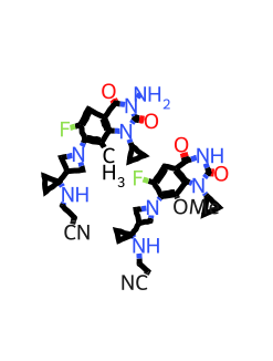 COc1c(N2CC(C3(NCCC#N)CC3)C2)c(F)cc2c(=O)[nH]c(=O)n(C3CC3)c12.Cc1c(N2CC(C3(NCCC#N)CC3)C2)c(F)cc2c(=O)n(N)c(=O)n(C3CC3)c12